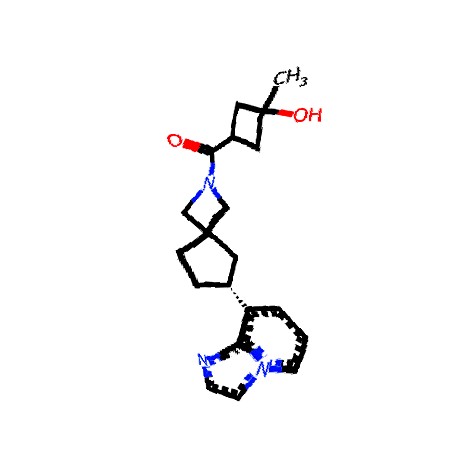 CC1(O)CC(C(=O)N2CC3(CC[C@@H](c4cccn5ccnc45)C3)C2)C1